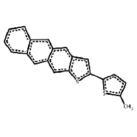 Cc1ccc(-c2cc3cc4cc5ccccc5cc4cc3s2)s1